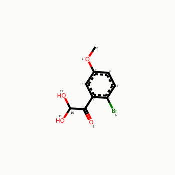 COc1ccc(Br)c(C(=O)C(O)O)c1